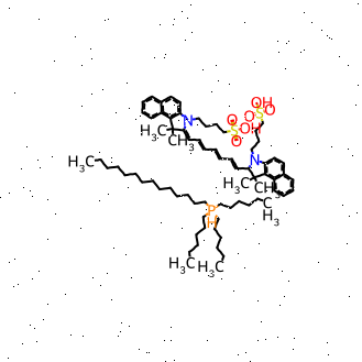 CC1(C)C(=CC=CC=CC=CC2N(CCCCS(=O)(=O)O)c3ccc4ccccc4c3C2(C)C)N(CCCCS(=O)(=O)O)c2ccc3ccccc3c21.CCCCCCCCCCCCCC[PH](CCCCCC)(CCCCCC)CCCCCC